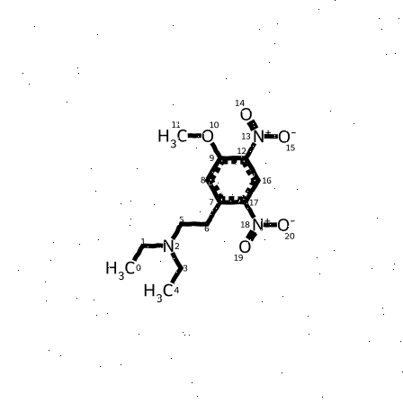 CCN(CC)CCc1cc(OC)c([N+](=O)[O-])cc1[N+](=O)[O-]